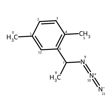 Cc1ccc(C)c(C(C)N=[N+]=[N-])c1